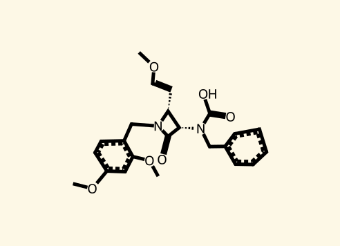 CO/C=C/[C@@H]1[C@H](N(Cc2ccccc2)C(=O)O)C(=O)N1Cc1ccc(OC)cc1OC